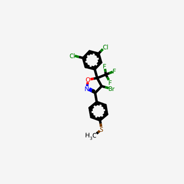 CSc1ccc(C2=NOC(c3cc(Cl)cc(Cl)c3)(C(F)(F)F)C2Br)cc1